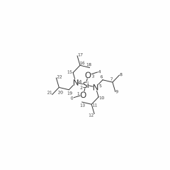 CO[Si](OC)(N(CC(C)C)CC(C)C)N(CC(C)C)CC(C)C